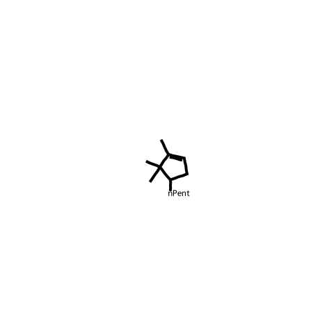 CCCCCC1CC=C(C)C1(C)C